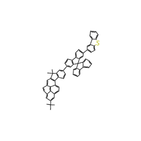 CC(C)(C)c1cc2ccc3cc4c(c5ccc(c1)c2c35)-c1ccc(-c2ccc3c(c2)C2(c5ccccc5-c5ccccc52)c2cc(-c5ccc6sc7ccccc7c6c5)ccc2-3)cc1C4(C)C